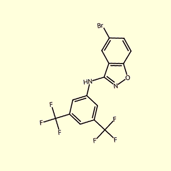 FC(F)(F)c1cc(Nc2noc3ccc(Br)cc23)cc(C(F)(F)F)c1